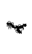 CCN(C(=O)OCc1ccc(NC(=O)[C@H](C)NC(=O)[C@@H](N)C(C)C)cc1)c1cc(C2(Cc3nncn3C)COC2)cc(N2Cc3c(SC)cc(CN4CCC[C@H](C)C4)cc3C2=O)n1